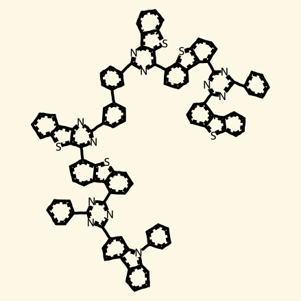 c1ccc(-c2nc(-c3ccc4c5ccccc5n(-c5ccccc5)c4c3)nc(-c3cccc4sc5c(-c6nc(-c7cccc(-c8cccc(-c9nc(-c%10cccc%11c%10sc%10cccc(-c%12nc(-c%13ccccc%13)nc(-c%13cccc%14sc%15ccccc%15c%13%14)n%12)c%10%11)c%10sc%11ccccc%11c%10n9)c8)c7)nc7c6sc6ccccc67)cccc5c34)n2)cc1